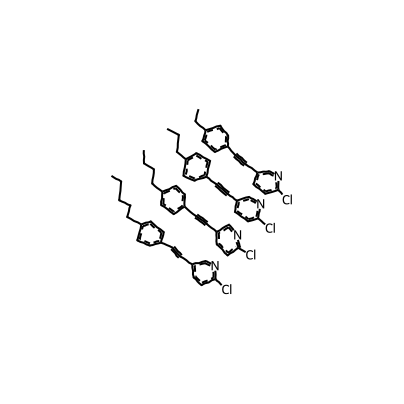 CCCCCc1ccc(C#Cc2ccc(Cl)nc2)cc1.CCCCc1ccc(C#Cc2ccc(Cl)nc2)cc1.CCCc1ccc(C#Cc2ccc(Cl)nc2)cc1.CCc1ccc(C#Cc2ccc(Cl)nc2)cc1